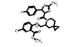 COC(=O)c1cc(Cl)ccc1NCC1CC2(CCN1C(=O)C1N=C(C)SC1c1ccc(F)cc1)CC2